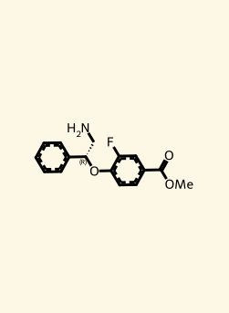 COC(=O)c1ccc(O[C@@H](CN)c2ccccc2)c(F)c1